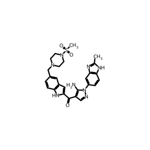 Cc1nc2cc(-n3ncc(C(=O)c4cc5cc(CN6CCN(S(C)(=O)=O)CC6)ccc5[nH]4)c3N)ccc2[nH]1